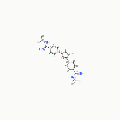 Cc1cc(-c2ccc(C(=N)NC(C)C)cc2)oc1-c1ccc(C(=N)NC(C)C)cc1